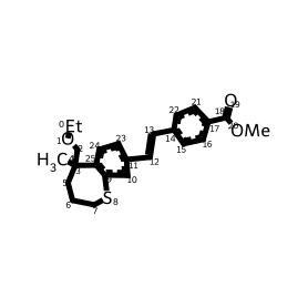 CCOCC1(C)CCCSc2cc(/C=C/c3ccc(C(=O)OC)cc3)ccc21